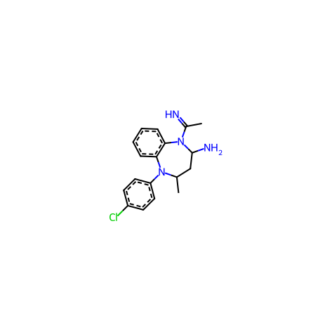 CC(=N)N1c2ccccc2N(c2ccc(Cl)cc2)C(C)CC1N